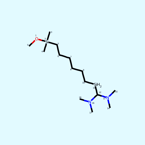 CO[Si](C)(C)CCCCCC[SiH2]C(N(C)C)N(C)C